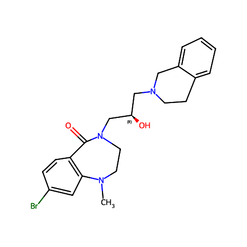 CN1CCN(C[C@H](O)CN2CCc3ccccc3C2)C(=O)c2ccc(Br)cc21